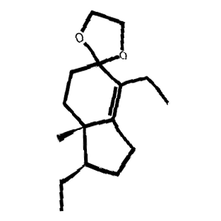 CCC1=C2CC[C@@H](CC)[C@]2(C)CCC12OCCO2